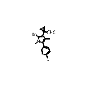 Cc1c(C2(C=O)CC2)c(Br)n(C)c1-c1ccc(Cl)cc1